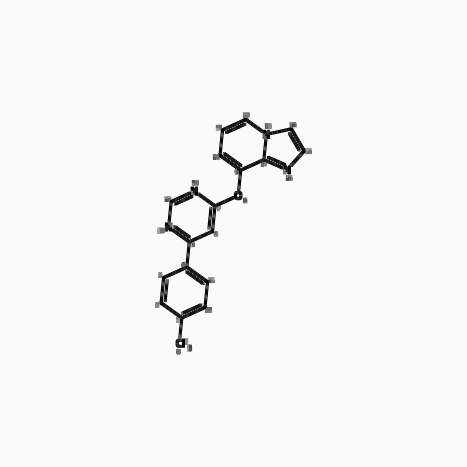 FC(F)(F)c1ccc(-c2cc(Oc3cccn4ccnc34)ncn2)cc1